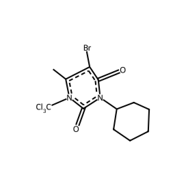 Cc1c(Br)c(=O)n(C2CCCCC2)c(=O)n1C(Cl)(Cl)Cl